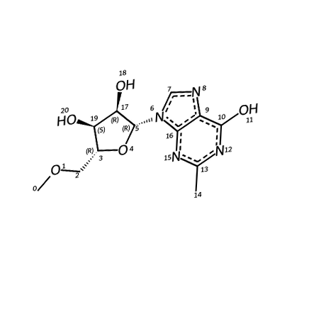 COC[C@H]1O[C@@H](n2cnc3c(O)nc(C)nc32)[C@H](O)[C@@H]1O